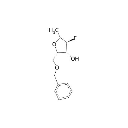 CC1O[C@@H](COCc2ccccc2)[C@@H](O)[C@@H]1F